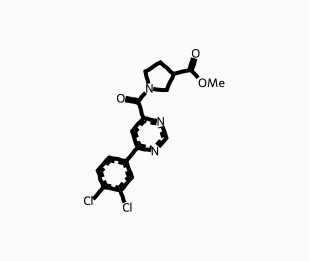 COC(=O)C1CCN(C(=O)c2cc(-c3ccc(Cl)c(Cl)c3)ncn2)C1